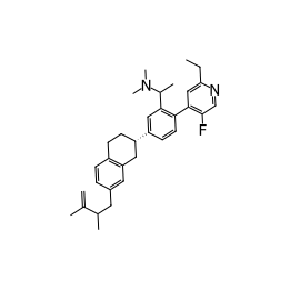 C=C(C)C(C)Cc1ccc2c(c1)C[C@@H](c1ccc(-c3cc(CC)ncc3F)c(C(C)N(C)C)c1)CC2